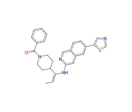 C/C=C(/Nc1cc2cc(-c3cncs3)ccc2cn1)C1CCN(C(=O)c2ccccc2)CC1